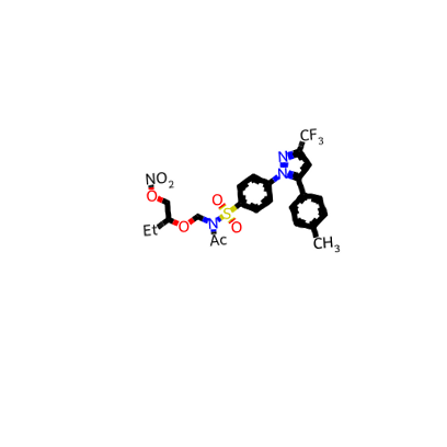 CCC(CO[N+](=O)[O-])OCN(C(C)=O)S(=O)(=O)c1ccc(-n2nc(C(F)(F)F)cc2-c2ccc(C)cc2)cc1